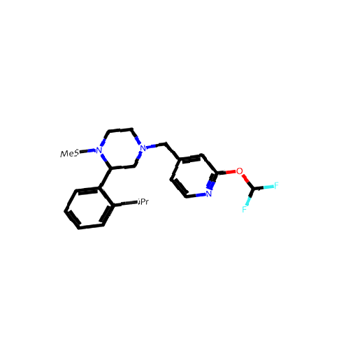 CSN1CCN(Cc2ccnc(OC(F)F)c2)CC1c1ccccc1C(C)C